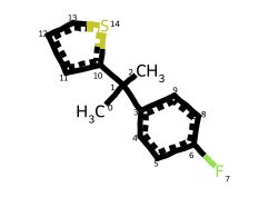 CC(C)(c1ccc(F)cc1)c1cccs1